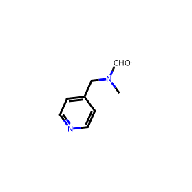 CN([C]=O)Cc1ccncc1